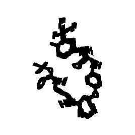 Cc1ccc(NC(=O)Nc2ccc(Oc3cc(NCCNC(=O)OC(C)(C)C)ncn3)cc2)cc1C(F)(F)F